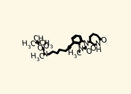 CN(CCCCCC#Cc1cccc2c1n(C)c(=O)n2C1CCCC(=O)NC1=O)C(=O)OC(C)(C)C